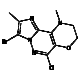 Cc1nc2c3c(c(Cl)nn2c1Br)OCCN3C